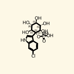 O=P(O)(O)O[C@]1(c2c[nH]c3cc(Cl)ccc23)[C@@H](O)[C@H](O)[C@@H](O)[C@H](O)[C@@H]1O